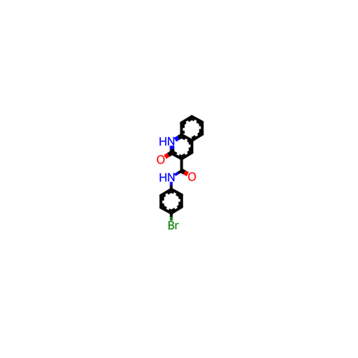 O=C(Nc1ccc(Br)cc1)c1cc2ccccc2[nH]c1=O